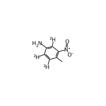 [2H]c1c([2H])c(N)c([2H])c([N+](=O)[O-])c1C